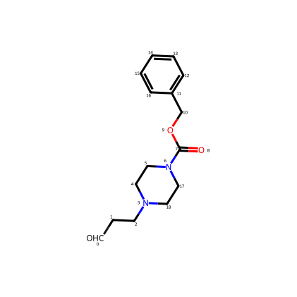 O=CCCN1CCN(C(=O)OCc2ccccc2)CC1